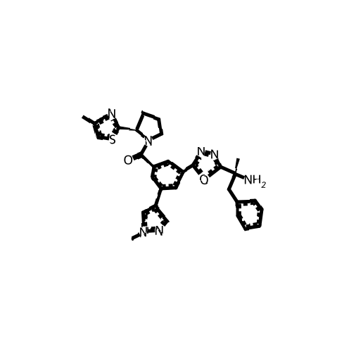 Cc1csc([C@H]2CCCN2C(=O)c2cc(-c3cnn(C)c3)cc(-c3nnc([C@](C)(N)Cc4ccccc4)o3)c2)n1